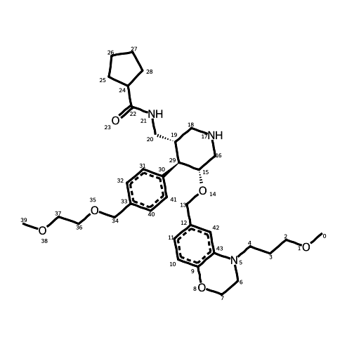 COCCCN1CCOc2ccc(CO[C@H]3CNC[C@@H](CNC(=O)C4CCCC4)[C@@H]3c3ccc(COCCOC)cc3)cc21